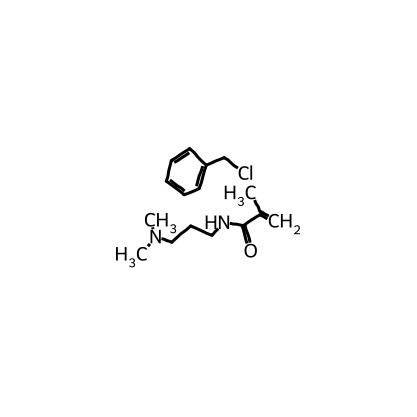 C=C(C)C(=O)NCCCN(C)C.ClCc1ccccc1